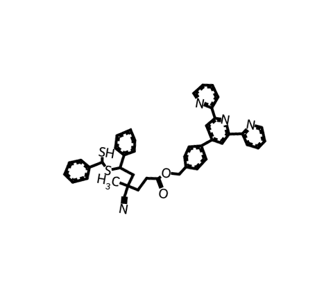 CC(C#N)(CCC(=O)OCc1ccc(-c2cc(-c3ccccn3)nc(-c3ccccn3)c2)cc1)CC(SC(S)c1ccccc1)c1ccccc1